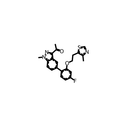 CC(=O)c1nn(C)c2ccc(-c3ccc(F)cc3OCCc3scnc3C)cc12